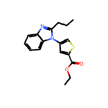 CCCc1nc2ccccc2n1-c1csc(C(=O)OCC)c1